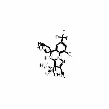 C=CC1(CC#N)Nc2c([SH](C)(C)=O)c(C#N)nn2-c2c(Cl)cc(C(F)(F)F)cc21